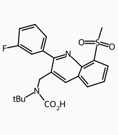 CC(C)(C)N(Cc1cc2cccc(S(C)(=O)=O)c2nc1-c1cccc(F)c1)C(=O)O